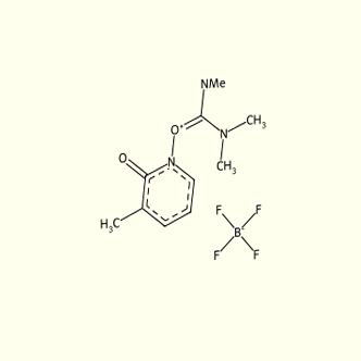 CNC(=[O+]n1cccc(C)c1=O)N(C)C.F[B-](F)(F)F